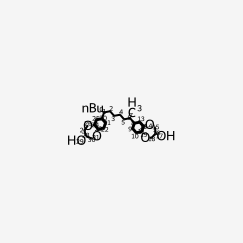 CCCCC(CCCCC(C)c1ccc2c(c1)OCC(O)CO2)c1ccc2c(c1)OCC(O)CO2